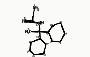 CC(NC(=N)N)(C1CCCCC1)C1CCCCC1